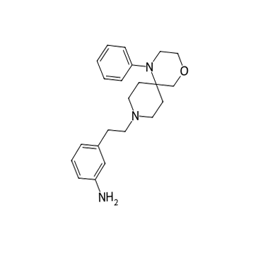 Nc1cccc(CCN2CCC3(CC2)COCCN3c2ccccc2)c1